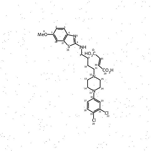 COc1ccc2nc(NCCCCN3CCN(c4ccc(Cl)c(Cl)c4)CC3)sc2c1.O=C(O)C=CC(=O)O